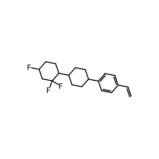 C=Cc1ccc(C2CCC(C3CCC(F)CC3(F)F)CC2)cc1